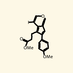 COC(=O)CCc1c(-c2ccc(OC)cc2)cc2cocc(I)c1-2